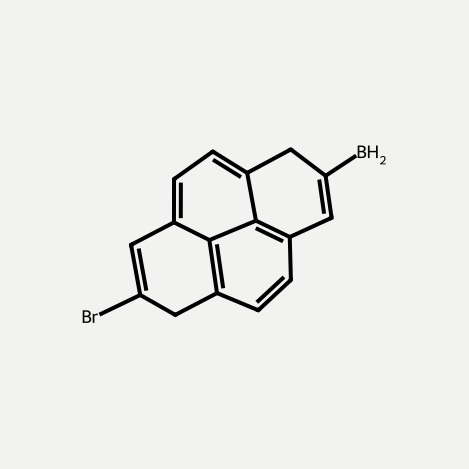 BC1=Cc2ccc3c4c(ccc(c24)C1)C=C(Br)C3